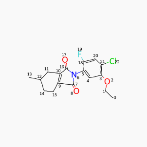 CCOc1cc(N2C(=O)C3=C(CC(C)CC3)C2=O)c(F)cc1Cl